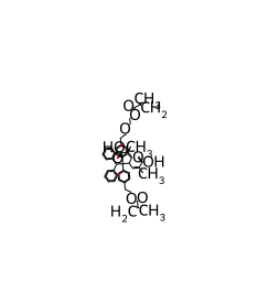 C=C(C)C(=O)OCCOCCc1ccc(C(c2ccc(CCOC(=O)C(=C)C)cc2)(C(C=C(C)C(=O)O)C=C(C)C(=O)O)C(c2ccccc2)c2ccccc2)cc1